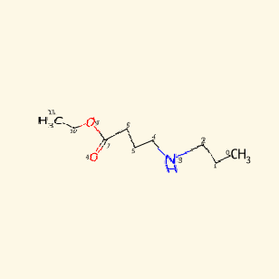 CCCNCCCC(=O)OCC